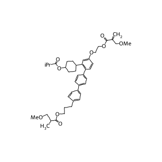 C=C(COC)C(=O)OCCOc1ccc(-c2ccc(-c3ccc(CCCOC(=O)C(C)COC)cc3)cc2)c(C2CCC(OC(=O)C(C)C)CC2)c1